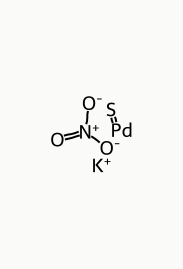 O=[N+]([O-])[O-].[K+].[S]=[Pd]